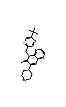 O=c1c(C2CCNCC2)cc2nccnc2n1Cc1cnc(C(F)(F)F)cn1